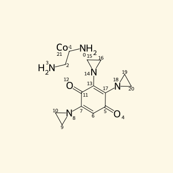 NCCN.O=C1C=C(N2CC2)C(=O)C(N2CC2)=C1N1CC1.[Co]